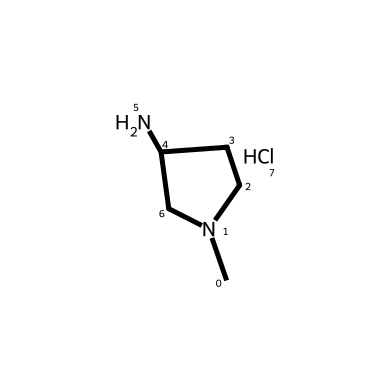 CN1CCC(N)C1.Cl